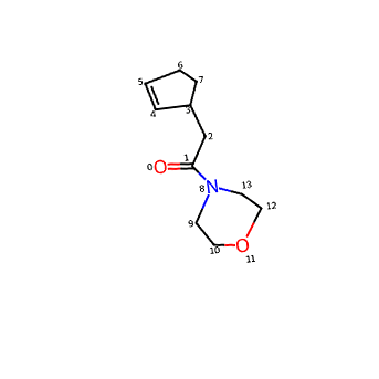 O=C(CC1C=CCC1)N1CCOCC1